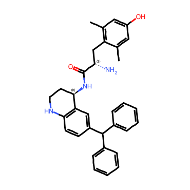 Cc1cc(O)cc(C)c1C[C@H](N)C(=O)N[C@@H]1CCNc2ccc(C(c3ccccc3)c3ccccc3)cc21